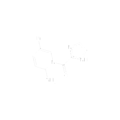 NC1C=CC(Br)=CN1C(=O)c1ncc[nH]1